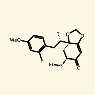 CCS[C@H]1C[C@]2([C@@H](C)Cc3ccc(OC)cc3F)OCOC2=CC1=O